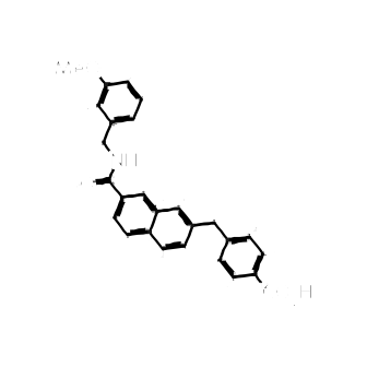 COc1cccc(CNC(=O)c2ccc3ccc(Cc4ccc(C(=O)O)cc4)cc3c2)c1